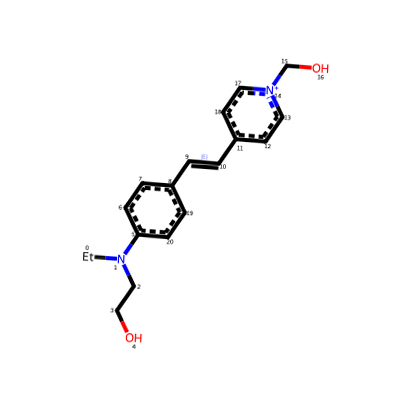 CCN(CCO)c1ccc(/C=C/c2cc[n+](CO)cc2)cc1